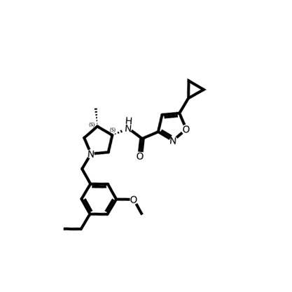 CCc1cc(CN2C[C@H](C)[C@H](NC(=O)c3cc(C4CC4)on3)C2)cc(OC)c1